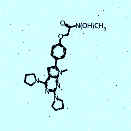 CN(O)C(=O)COc1ccc(-c2cc3c(N4CCCC4)nc(N4CCCC4)nc3n2C)cc1